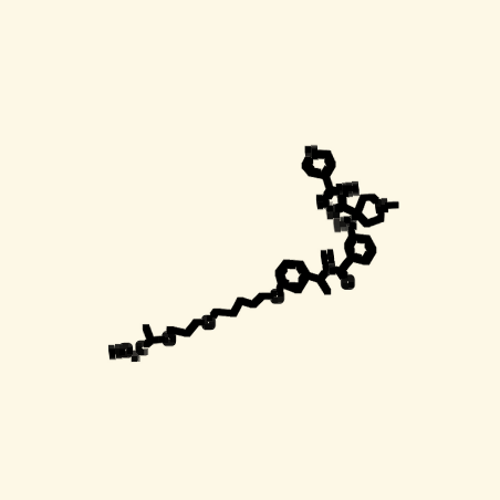 CC(OCCCOCCCCCOc1cccc(C(C)NC(=O)c2cccc(NC3(c4nnc(-c5ccncc5)[nH]4)CCN(C)CC3)c2)c1)C(=O)O